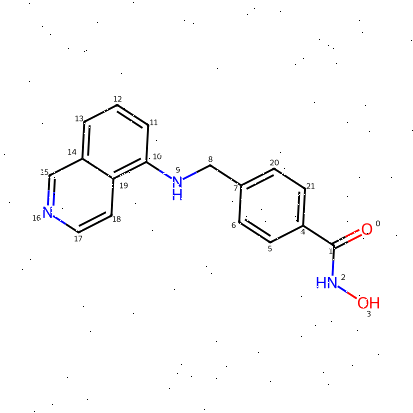 O=C(NO)c1ccc(CNc2cccc3cnccc23)cc1